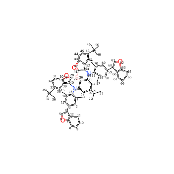 Cc1cc(-c2coc3ccccc23)cc(C)c1N1c2cc(C(C)C)cc3c2B(c2oc4ccc(C(C)(C)C)cc4c21)c1oc2ccc(C(C)(C)C)cc2c1N3c1c(C)cc(-c2coc3ccccc23)cc1C